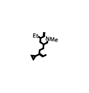 C=CC(CC)CC(CC/C(=C\C)C1CC1)CNC